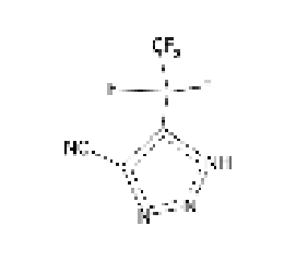 N#Cc1nn[nH]c1C(F)(F)C(F)(F)F